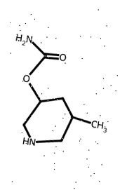 CC1CNCC(OC(N)=O)C1